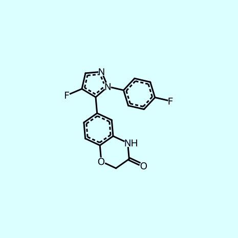 O=C1COc2ccc(-c3c(F)cnn3-c3ccc(F)cc3)cc2N1